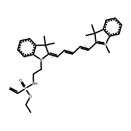 C=CP(=O)(NCCN1/C(=C/C=C/C=C/C2=[N+](C)c3ccccc3C2(C)C)C(C)(C)c2ccccc21)OCC